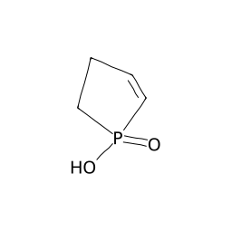 O=P1(O)C=CCC1